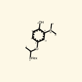 CCCCCCC(C)Oc1ccc(O)c(N(C)C)c1